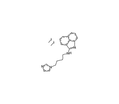 CI.CI.c1cc2c3c(cccc3c1)C(NCCCCn1ccnc1)=N2